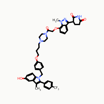 Cc1c(-c2ccc(C(F)(F)F)cc2)n(Cc2ccc(OCCCCN3CCN(C(=O)COc4cccc5c(C6CCC(=O)NC6=O)nn(C)c45)CC3)cc2)c2ccc(O)cc12